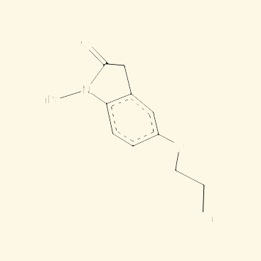 CC(C)CCOc1ccc2c(c1)CC(=O)N2C(C)C